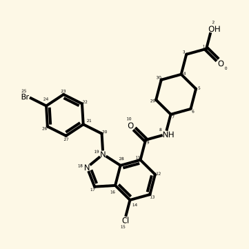 O=C(O)CC1CCC(NC(=O)c2ccc(Cl)c3cnn(Cc4ccc(Br)cc4)c23)CC1